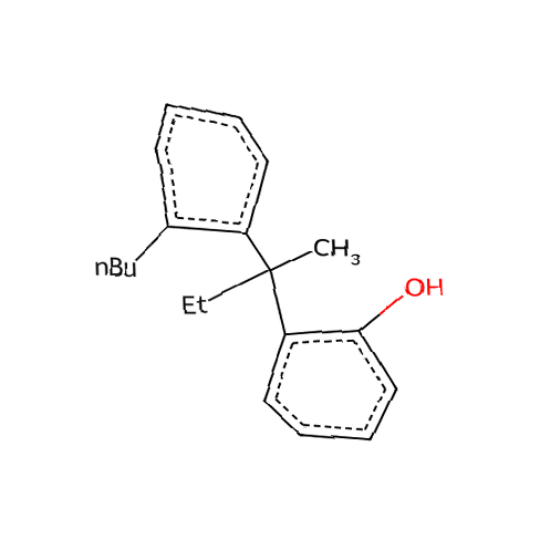 CCCCc1ccccc1C(C)(CC)c1ccccc1O